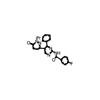 CC(C)n1nc(-c2cnc(NC(=O)c3ccc(F)cc3)nc2-c2ccccc2)ccc1=O